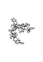 CC(C)C[C@H](NC(=O)[C@H](Cc1ccccc1)NC(=O)CNC(=O)[C@@H](C)NC(=O)[C@@H](N)Cc1ccc(O)cc1)C(=O)N[C@@H](CCC(=O)O)C(=O)O